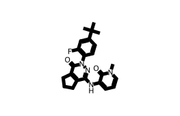 Cn1cccc(Nc2nn(-c3ccc(C(C)(C)C)cc3F)c(=O)c3c2CCC3)c1=O